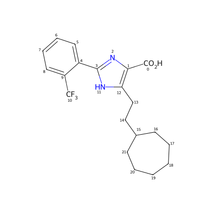 O=C(O)c1nc(-c2ccccc2C(F)(F)F)[nH]c1CCC1CCCCCC1